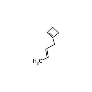 CC=CCC1=CCC1